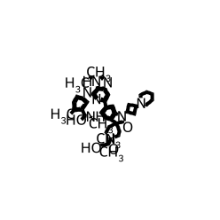 CNC(O)c1cc(Nc2nc(-c3ccc4c(c3)N([C@H]3C[C@@H](N5CCCCC5)C3)C(=O)C43CCN(C(=O)C(C)(C)O)CC3)cc3ncn(C(C)C)c23)ccc1C